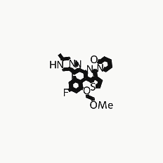 COCCOc1cc(F)cc(F)c1-c1c(-c2cc3n(n2)CC(C)NC3)nc(-n2ccccc2=O)c2ccsc12